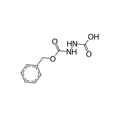 O=C(O)NNC(=O)OCc1ccccc1